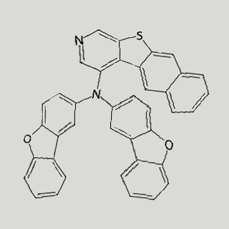 c1ccc2cc3c(cc2c1)sc1cncc(N(c2ccc4oc5ccccc5c4c2)c2ccc4oc5ccccc5c4c2)c13